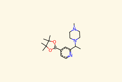 CC(c1cc(B2OC(C)(C)C(C)(C)O2)ccn1)N1CCN(C)CC1